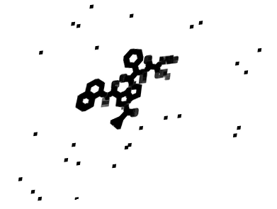 CNC(C)C(=O)NC(C(=O)N1CCC2C1C(C(=O)NC1CCCc3ccccc31)CN2C(=O)C1CC1)C1CCCCC1